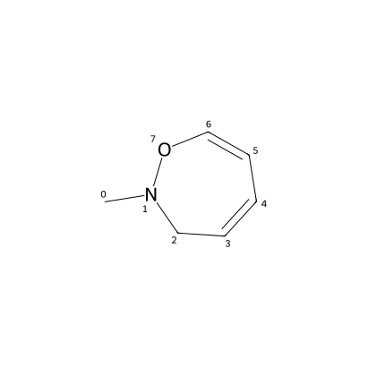 CN1CC=CC=CO1